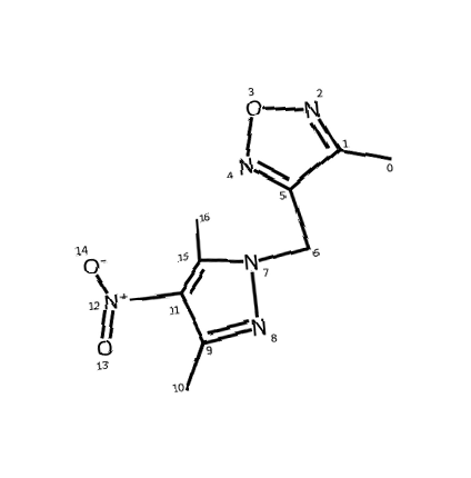 Cc1nonc1Cn1nc(C)c([N+](=O)[O-])c1C